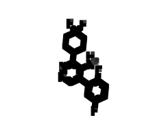 Nc1c(-c2cc(F)ccc2F)cnnc1C1CCC(F)(F)CC1